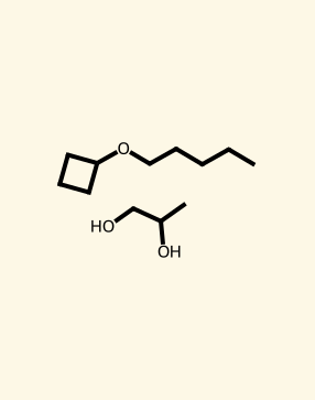 CC(O)CO.CCCCCOC1CCC1